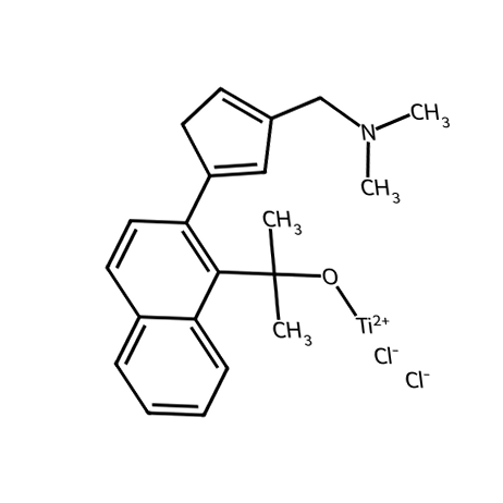 CN(C)CC1=CCC(c2ccc3ccccc3c2C(C)(C)[O][Ti+2])=C1.[Cl-].[Cl-]